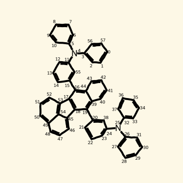 c1ccc(N(c2ccccc2)c2cccc(-c3c4c(c(-c5cccc(N(c6ccccc6)c6ccccc6)c5)c5ccccc35)-c3cccc5cccc-4c35)c2)cc1